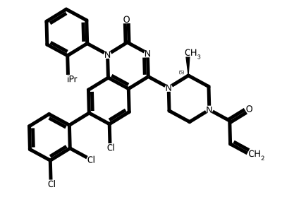 C=CC(=O)N1CCN(c2nc(=O)n(-c3ccccc3C(C)C)c3cc(-c4cccc(Cl)c4Cl)c(Cl)cc23)[C@@H](C)C1